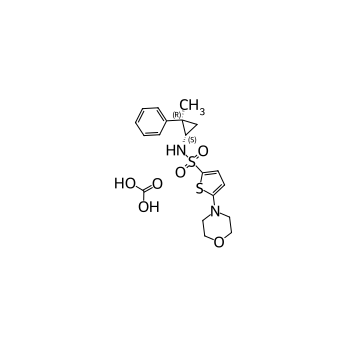 C[C@]1(c2ccccc2)C[C@@H]1NS(=O)(=O)c1ccc(N2CCOCC2)s1.O=C(O)O